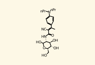 CCCN(CCC)c1ccc(/C(C)=C(\C#N)C(=O)N[C@H]2C(O)O[C@H](CO)[C@@H](O)[C@@H]2O)cc1